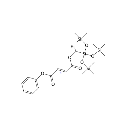 CCC(OC(=O)/C=C/C(=O)Oc1ccccc1)[Si](O[Si](C)(C)C)(O[Si](C)(C)C)O[Si](C)(C)C